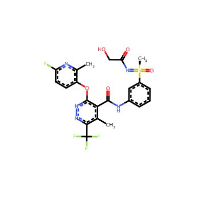 Cc1nc(F)ccc1Oc1nnc(C(F)(F)F)c(C)c1C(=O)Nc1cccc([S@@](C)(=O)=NC(=O)CO)c1